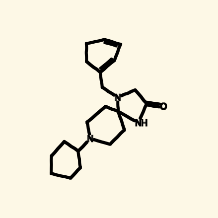 O=C1CN(CC2=CC=CCC2)C2(CCN(C3CCCCC3)CC2)N1